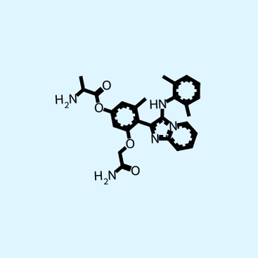 Cc1cccc(C)c1Nc1c(-c2c(C)cc(OC(=O)C(C)N)cc2OCC(N)=O)nc2ccccn12